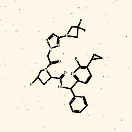 O=C(NC(c1ccccc1)c1ccc(C2CC2)c(F)n1)C1CC(F)CN1C(=O)Cn1ncc(N2CC(F)(F)C2)n1